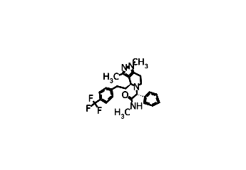 CNC(=O)[C@@H](c1ccccc1)N1CCc2c(c(C)nn2C)[C@@H]1CCc1ccc(C(F)(F)F)cc1